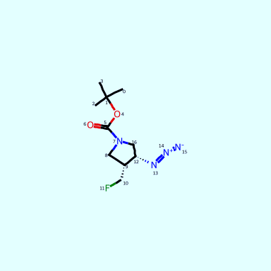 CC(C)(C)OC(=O)N1C[C@@H](CF)[C@@H](N=[N+]=[N-])C1